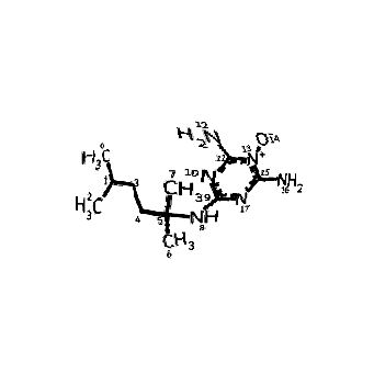 CC(C)CCC(C)(C)Nc1nc(N)[n+]([O-])c(N)n1